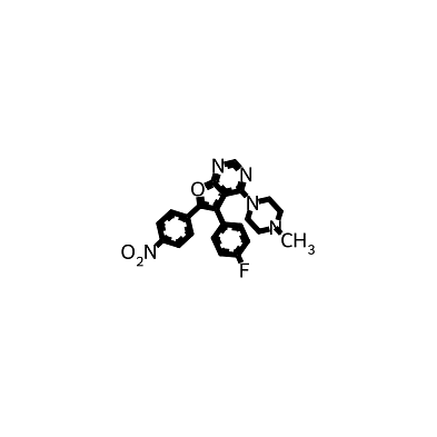 CN1CCN(c2ncnc3oc(-c4ccc([N+](=O)[O-])cc4)c(-c4ccc(F)cc4)c23)CC1